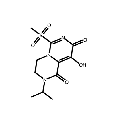 CC(C)N1CCn2c(S(C)(=O)=O)nc(=O)c(O)c2C1=O